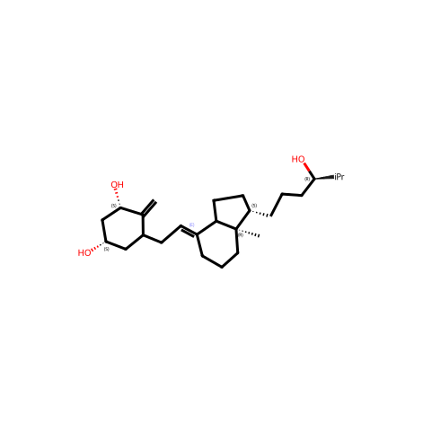 C=C1C(C/C=C2\CCC[C@@]3(C)C2CC[C@@H]3CCC[C@@H](O)C(C)C)C[C@H](O)C[C@@H]1O